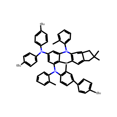 Cc1ccccc1N1c2ccc(-c3ccc(C(C)(C)C)cc3)cc2B2c3cc4c(cc3N(c3ccccc3C)c3cc(N(c5ccc(C(C)(C)C)cc5)c5ccc(C(C)(C)C)cc5)cc1c32)CC(C)(C)C4